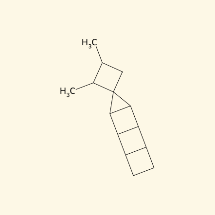 CC1CC2(C1C)C1C3C4CCC4C3C12